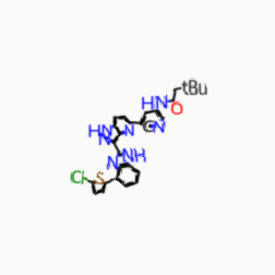 CC(C)(C)CC(=O)Nc1cncc(-c2ccc3[nH]nc(-c4nc5c(-c6ccc(Cl)s6)cccc5[nH]4)c3n2)c1